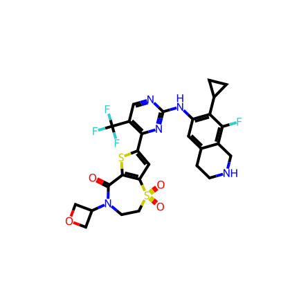 O=C1c2sc(-c3nc(Nc4cc5c(c(F)c4C4CC4)CNCC5)ncc3C(F)(F)F)cc2S(=O)(=O)CCN1C1COC1